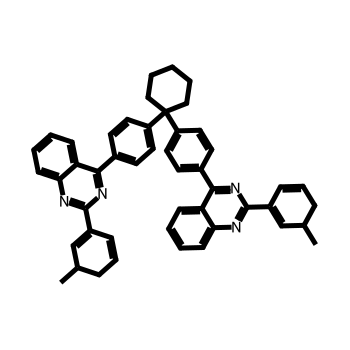 CC1C=C(c2nc(-c3ccc(C4(c5ccc(-c6nc(C7=CC(C)CC=C7)nc7ccccc67)cc5)CCCCC4)cc3)c3ccccc3n2)C=CC1